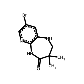 CC1(C)CNc2cc(Br)cnc2NC1=O